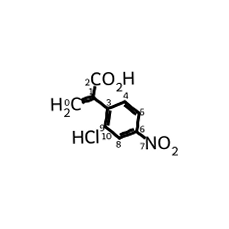 C=C(C(=O)O)c1ccc([N+](=O)[O-])cc1.Cl